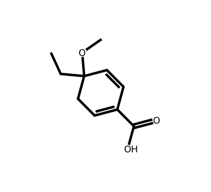 CCC1(OC)C=CC(C(=O)O)=CC1